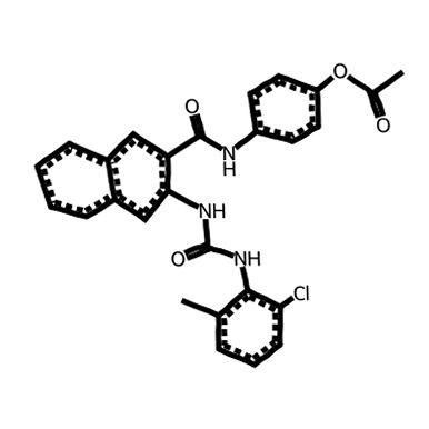 CC(=O)Oc1ccc(NC(=O)c2cc3ccccc3cc2NC(=O)Nc2c(C)cccc2Cl)cc1